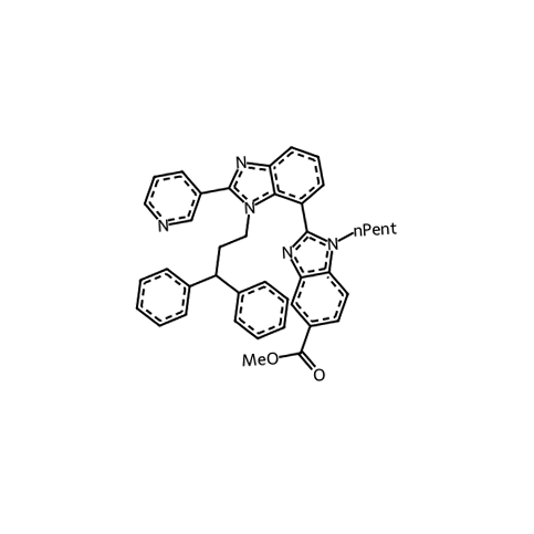 CCCCCn1c(-c2cccc3nc(-c4cccnc4)n(CCC(c4ccccc4)c4ccccc4)c23)nc2cc(C(=O)OC)ccc21